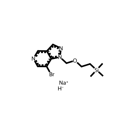 C[Si](C)(C)CCOCn1ncc2cncc(Br)c21.[H-].[Na+]